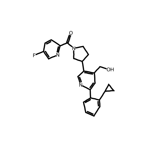 O=C(c1ccc(F)cn1)N1CCC(c2cnc(-c3ccccc3C3CC3)cc2CO)C1